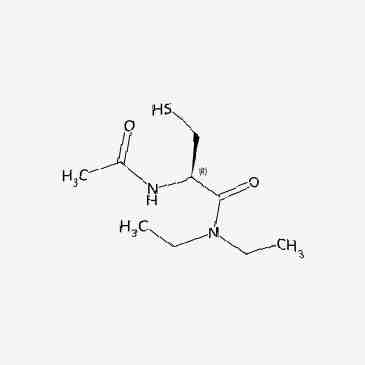 CCN(CC)C(=O)[C@H](CS)NC(C)=O